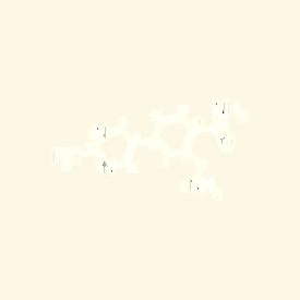 NCc1cc(-c2cnc(C(F)(F)F)nc2)ccc1C(N)=O